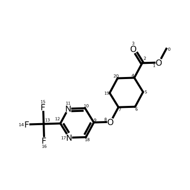 COC(=O)C1CCC(Oc2cnc(C(F)(F)F)nc2)CC1